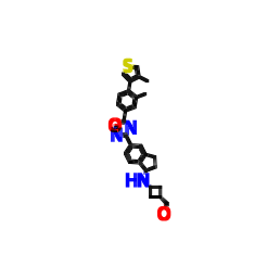 Cc1cc(-c2nc(-c3ccc4c(c3)CCC4N[C@H]3C[C@H](C=O)C3)no2)ccc1-c1cscc1C